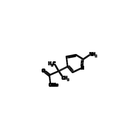 COC(=O)C(C)(C)c1ccc(N)nc1